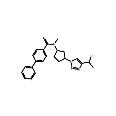 CC(O)c1cn(C2CCC(N(C)C(=O)c3ccc(-c4ccccc4)cc3)C2)nn1